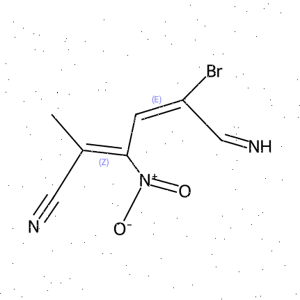 C/C(C#N)=C(\C=C(\Br)C=N)[N+](=O)[O-]